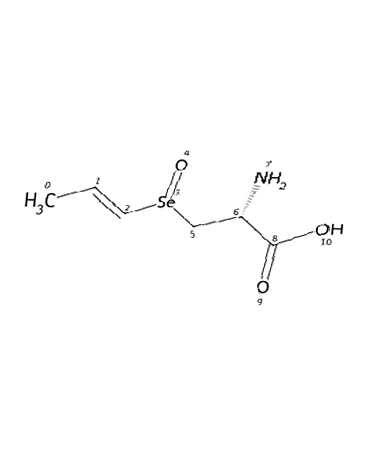 CC=C[Se](=O)C[C@H](N)C(=O)O